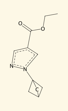 CCOC(=O)c1cnn(C23CC(C2)C3)c1